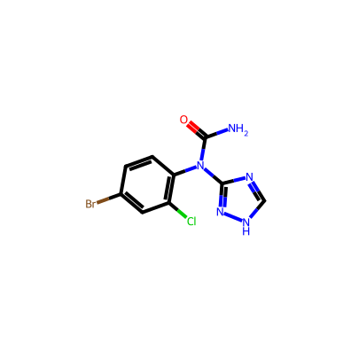 NC(=O)N(c1nc[nH]n1)c1ccc(Br)cc1Cl